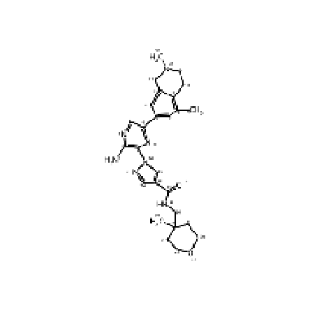 Cc1cc(-c2cnc(N)c(-n3cc(C(=O)NCC4(C)CCOCC4)cn3)n2)cc2c1CCN(C)C2